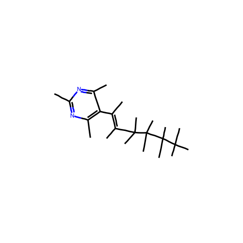 C/C(=C(/C)C(C)(C)C(C)(C)C(C)(C)C(C)(C)C)c1c(C)nc(C)nc1C